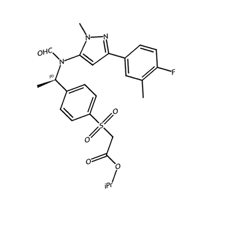 Cc1cc(-c2cc(N(C=O)[C@H](C)c3ccc(S(=O)(=O)CC(=O)OC(C)C)cc3)n(C)n2)ccc1F